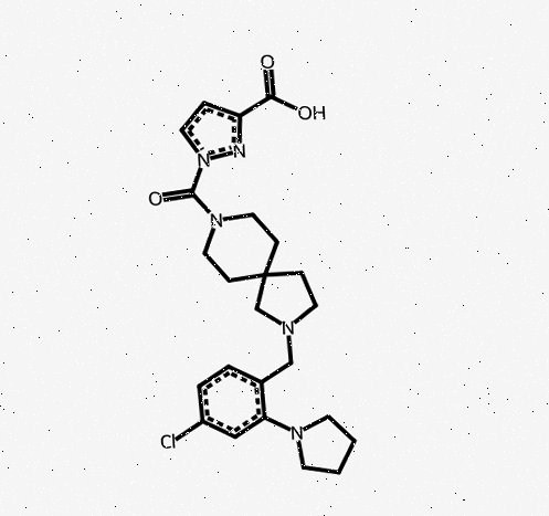 O=C(O)c1ccn(C(=O)N2CCC3(CCN(Cc4ccc(Cl)cc4N4CCCC4)C3)CC2)n1